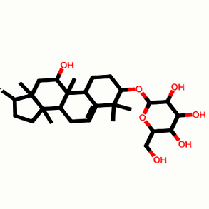 CC(C)C1CCC2(C)C3CC=C4C(CCC(OC5OC(CO)C(O)C(O)C5O)C4(C)C)C3(C)C(O)CC12C